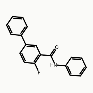 O=C(Nc1c[c]ccc1)c1cc(-c2ccccc2)ccc1F